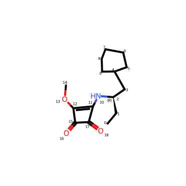 CC[C@H](CC1CCCCC1)Nc1c(OC)c(=O)c1=O